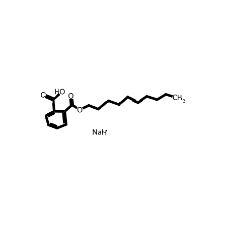 CCCCCCCCCCOC(=O)c1ccccc1C(=O)O.[NaH]